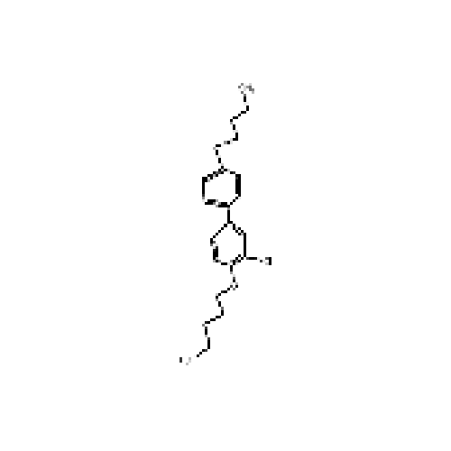 CCCCCOc1ccc(-c2ccc(CCCCC)cc2)cc1Cl